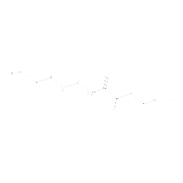 [2H]C(CCCCCCCCCCCC)C(=O)NCCCCCCCCCCCCCC